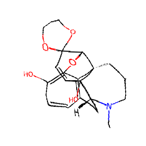 CN1CCC[C@]23c4c5ccc(O)c4OC2C2(C=CC3(O)[C@H]1C5)OCCO2